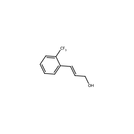 OCC=Cc1ccccc1C(F)(F)F